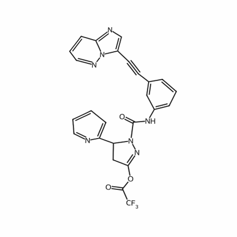 O=C(Nc1cccc(C#Cc2cnc3cccnn23)c1)N1N=C(OC(=O)C(F)(F)F)CC1c1ccccn1